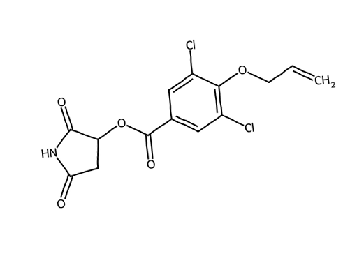 C=CCOc1c(Cl)cc(C(=O)OC2CC(=O)NC2=O)cc1Cl